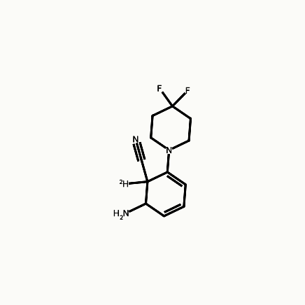 [2H]C1(C#N)C(N2CCC(F)(F)CC2)=CC=CC1N